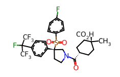 C[C@]1(C(=O)O)CC[C@H](C(=O)N2CC[C@](c3ccc(C(F)(C(F)(F)F)C(F)(F)F)cc3)(S(=O)(=O)c3ccc(F)cc3)C2)CC1